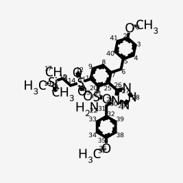 COc1ccc(Cc2ccc(S(=O)(=O)CC[Si](C)(C)C)c(S(N)(=O)=O)c2-c2nnnn2Cc2ccc(OC)cc2)cc1